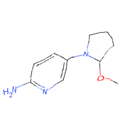 COC1CCCN1c1ccc(N)nc1